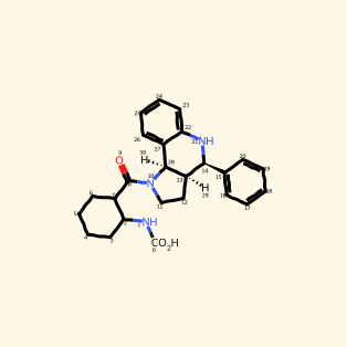 O=C(O)NC1CCCCC1C(=O)N1CC[C@@H]2[C@H](c3ccccc3)Nc3ccccc3[C@@H]21